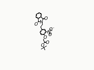 CC(C)(C)OC(=O)COc1ccc(CCN2C(=O)c3ccccc3C2=O)cc1[N+](=O)[O-]